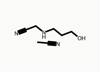 CC#N.N#CCNCCCO